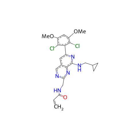 C=CC(=O)NCc1ncc2cc(-c3c(Cl)c(OC)cc(OC)c3Cl)nc(NCC3CC3)c2n1